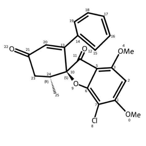 COc1cc(OC)c2c(c1Cl)O[C@]1(C2=O)C(c2ccccc2)=CC(=O)C[C@H]1C